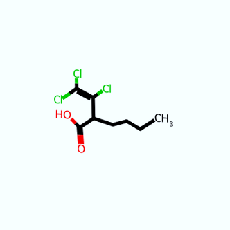 CCCCC(C(=O)O)C(Cl)=C(Cl)Cl